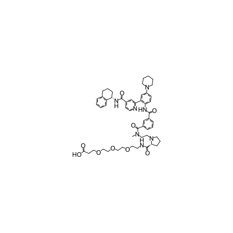 CN(CCN1CCC[C@H]1C(=O)NCCOCCOCCOCCC(=O)O)C(=O)c1cccc(C(=O)Nc2ccc(N3CCCCC3)cc2-c2cc(C(=O)N[C@H]3CCCc4ccccc43)ccn2)c1